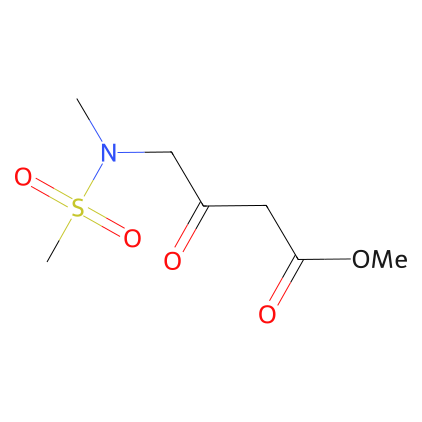 COC(=O)CC(=O)CN(C)S(C)(=O)=O